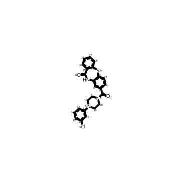 O=C1Nc2cc(C(=O)N3CCN(c4cccc(Cl)c4)CC3)ccc2Sc2ccccc21